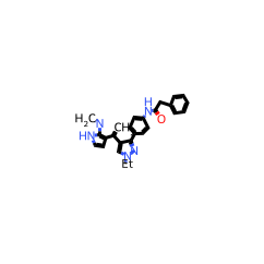 C=Nc1[nH]ccc1C(=C)c1cn(CC)nc1-c1ccc(NC(=O)Cc2ccccc2)cc1